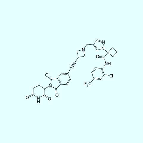 O=C1CCC(N2C(=O)c3ccc(C#CC4CN(Cc5cnn(C6(C(=O)Nc7ccc(C(F)(F)F)cc7Cl)CCC6)c5)C4)cc3C2=O)C(=O)N1